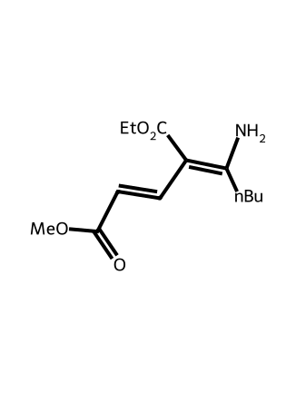 CCCC/C(N)=C(\C=C\C(=O)OC)C(=O)OCC